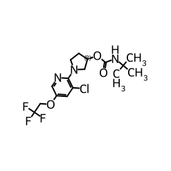 CC(C)(C)NC(=O)O[C@@H]1CCN(c2ncc(OCC(F)(F)F)cc2Cl)C1